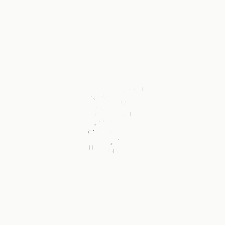 CCC1CCC[C@@H](O[C@@H]2O[C@@H](C)[C@@H](O)C(O[C@@H](CC3CCCCC3)C(=O)O)C2NC(C)=O)[C@@H]1OC1O[C@@H](C)[C@H](O)C(O)[C@@H]1O